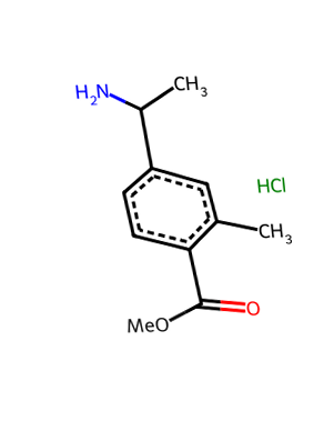 COC(=O)c1ccc(C(C)N)cc1C.Cl